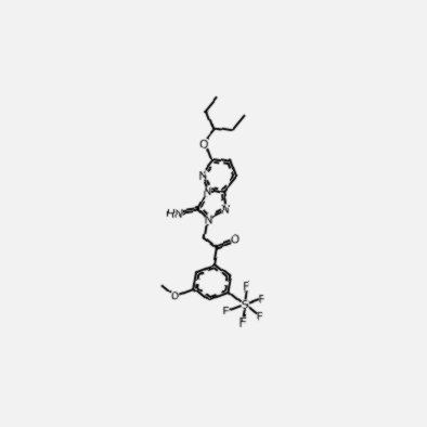 CCC(CC)Oc1ccc2nn(CC(=O)c3cc(OC)cc(S(F)(F)(F)(F)F)c3)c(=N)n2n1